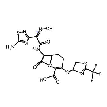 Nc1nc(/C(=N/O)C(=O)NC2C(=O)N3C(C(=O)O)=C(SC4CSC(C(F)(F)F)=N4)CCC23)ns1